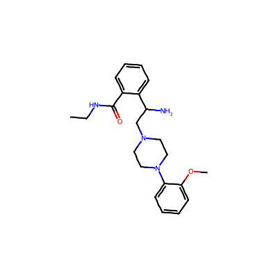 CCNC(=O)c1ccccc1C(N)CN1CCN(c2ccccc2OC)CC1